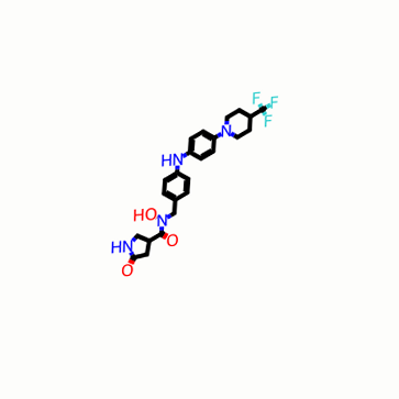 O=C1CC(C(=O)N(O)Cc2ccc(Nc3ccc(N4CCC(C(F)(F)F)CC4)cc3)cc2)CN1